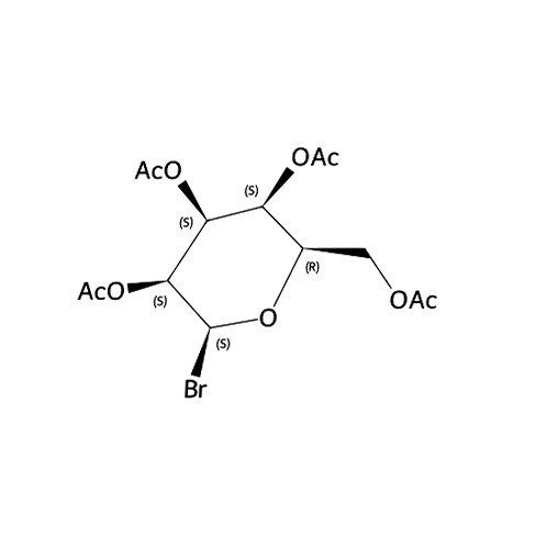 CC(=O)OC[C@H]1O[C@@H](Br)[C@@H](OC(C)=O)[C@@H](OC(C)=O)[C@H]1OC(C)=O